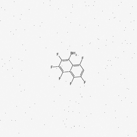 Bc1c(F)c(F)c(F)c2c(F)c(F)cc(F)c12